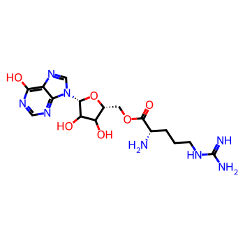 N=C(N)NCCC[C@H](N)C(=O)OC[C@H]1O[C@@H](n2cnc3c(O)ncnc32)C(O)C1O